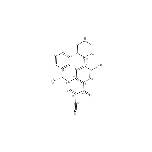 C[C@H](c1ccccc1)n1cc(C#N)c(=O)c2cc(F)c(N3CCOCC3)cc21